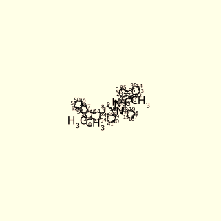 CC1(C)c2ccc(-c3ccc(-c4nc(-c5ccccc5)cc(-c5cccc6c5C(C)(C)c5ccccc5-6)n4)c4ccccc34)cc2-c2cc3ccccc3cc21